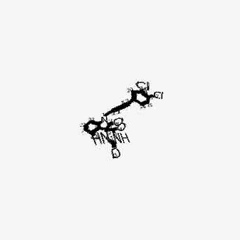 O=C1NC(=O)C2(N1)C(=O)N(CC#Cc1ccc(Cl)c(Cl)c1)c1ccccc12